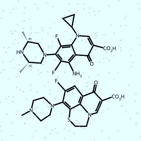 CN1CCN(c2c(F)cc3c(=O)c(C(=O)O)cn4c3c2SCC4)CC1.C[C@@H]1CN(c2c(F)c(N)c3c(=O)c(C(=O)O)cn(C4CC4)c3c2F)C[C@H](C)N1